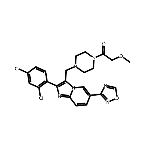 COCC(=O)N1CCN(Cc2c(-c3ccc(Cl)cc3Cl)nc3ccc(-c4ncon4)cn23)CC1